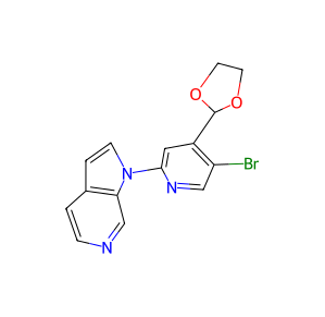 Brc1cnc(-n2ccc3ccncc32)cc1C1OCCO1